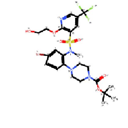 CN(c1cc(Br)ccc1N1CCN(C(=O)OC(C)(C)C)CC1)S(=O)(=O)c1cc(C(F)(F)F)cnc1OCCO